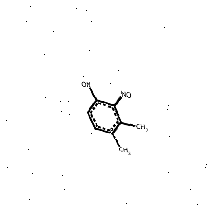 Cc1ccc(N=O)c(N=O)c1C